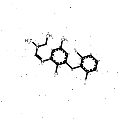 CCN(C)/C=N\c1cc(C)cc(Cc2c(F)cccc2F)c1Cl